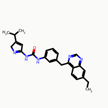 CCc1ccc2c(Cc3cccc(NC(=O)NC4=NCC(C(C)C)=C4)c3)ncnc2c1